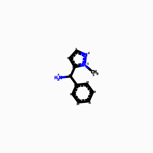 Cn1nccc1C(N)c1ccccc1